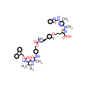 Cc1cc(N(C)c2nc(C(=O)O)c(CCCOc3ccc(C#CCN(C)C(=O)OCc4ccc(NC(=O)[C@H](C)NC(=O)[C@@H](NC(=O)OCC5c6ccccc6-c6ccccc65)C(C)C)cc4)cc3F)s2)nnc1Nc1nc2ccccc2s1